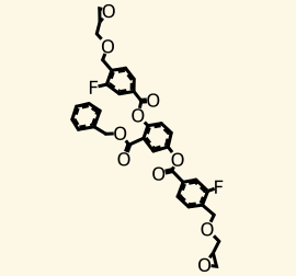 O=C(Oc1ccc(OC(=O)c2ccc(COCC3CO3)c(F)c2)c(C(=O)OCc2ccccc2)c1)c1ccc(COCC2CO2)c(F)c1